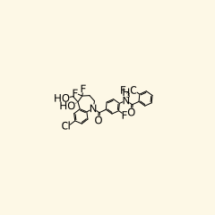 O=C(Nc1ccc(C(=O)N2CCC(F)(F)[C@](O)(CO)c3cc(Cl)ccc32)cc1F)c1ccccc1C(F)(F)F